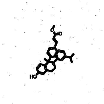 COC(=O)/C=C/c1ccc(C2(C)c3ccc(O)cc3CCN2c2cccc(C(C)C)c2)cc1